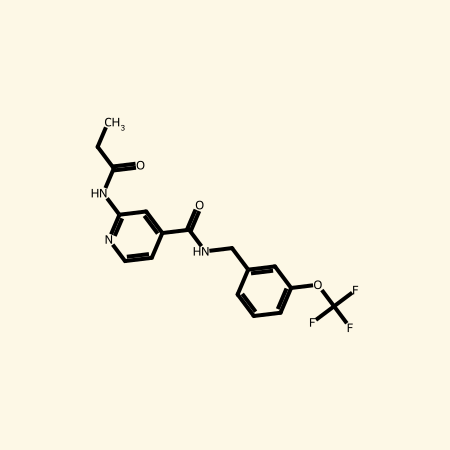 CCC(=O)Nc1cc(C(=O)NCc2cccc(OC(F)(F)F)c2)ccn1